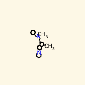 C[C@@H]1C[C@@H](CCN(C)Cc2ccccc2)c2ccc(N3CCCCC3)cc21